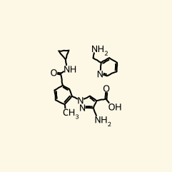 Cc1ccc(C(=O)NC2CC2)cc1-n1cc(C(=O)O)c(N)n1.NCc1ccccn1